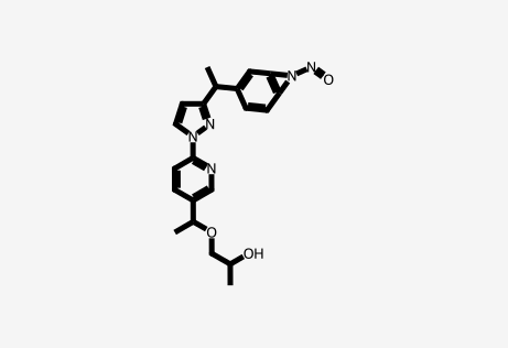 CC(O)COC(C)c1ccc(-n2ccc(C(C)c3ccc4c(c3)N4N=O)n2)nc1